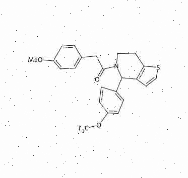 COc1ccc(CC(=O)N2CCc3sccc3C2c2ccc(OC(F)(F)F)cc2)cc1